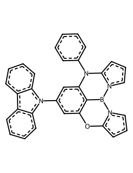 c1ccc(N2c3cc(-n4c5ccccc5c5ccccc54)cc4c3B(n3cccc3O4)n3cccc32)cc1